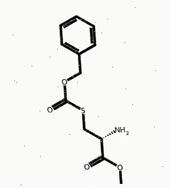 COC(=O)[C@@H](N)CSC(=O)OCc1ccccc1